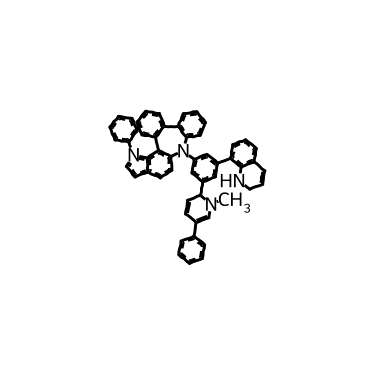 CN1C=C(c2ccccc2)C=CC1c1cc(-c2cccc3c2NCC=C3)cc(N2c3ccccc3-c3ccccc3-c3c2ccc2ccn(-c4ccccc4)c32)c1